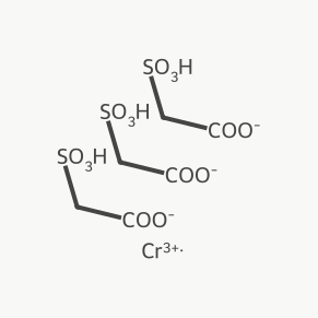 O=C([O-])CS(=O)(=O)O.O=C([O-])CS(=O)(=O)O.O=C([O-])CS(=O)(=O)O.[Cr+3]